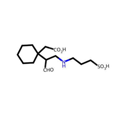 O=CC(CNCCCS(=O)(=O)O)C1(CC(=O)O)CCCCC1